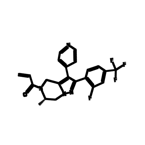 C=CC(=O)N1Cc2c(-c3ccncc3)c(-c3ccc(C(F)(F)F)cc3F)nn2C[C@@H]1C